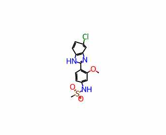 COc1cc(NS(C)(=O)=O)ccc1-c1nc2cc(Cl)ccc2[nH]1